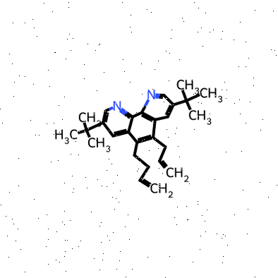 C=CCCc1c(CC=C)c2cc(C(C)(C)C)cnc2c2ncc(C(C)(C)C)cc12